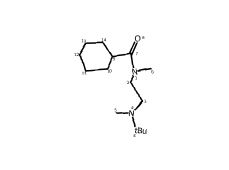 CN(CCN(C)C(C)(C)C)C(=O)C1CCCCC1